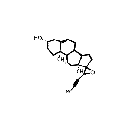 C[C@]12CC[C@H](O)CC1=CCC1C2CC[C@@]2(C)C1CC[C@]21O[C@H]1C#CBr